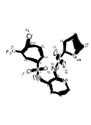 O=S(=O)(Nc1cccnc1NS(=O)(=O)c1cccs1)c1ccc(Cl)c(C(F)(F)F)c1